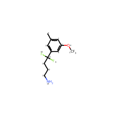 Cc1cc(OC(F)(F)F)cc(C(F)(F)CCCN)c1